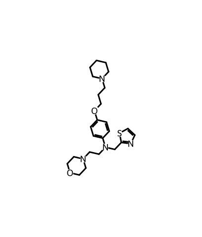 c1csc(CN(CCN2CCOCC2)c2ccc(OCCCN3CCCCC3)cc2)n1